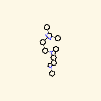 c1ccc(-c2cc(-c3ccccc3)nc(-c3cccc(-c4cccc(-n5c6ccccc6c6cc7ccc8c(ccn8-c8ccccc8)c7cc65)c4)c3)n2)cc1